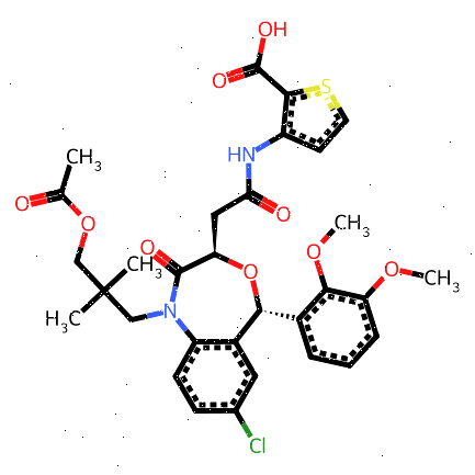 COc1cccc([C@H]2O[C@H](CC(=O)Nc3ccsc3C(=O)O)C(=O)N(CC(C)(C)COC(C)=O)c3ccc(Cl)cc32)c1OC